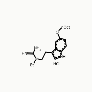 CCCCCCCCOc1ccc2[nH]cc(CCN(CC)C(=N)N)c2c1.Cl